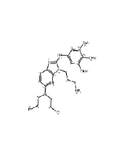 COc1cc(Nc2nc3ccc(N(CCC(C)C)CCC(C)C)nc3n2CCCN)cc(OC)c1OC